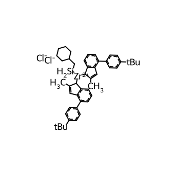 CC1=Cc2c(-c3ccc(C(C)(C)C)cc3)cccc2[CH]1[Zr+2]([SiH2]CC1CCCCC1)[CH]1C(C)=Cc2c(-c3ccc(C(C)(C)C)cc3)cccc21.[Cl-].[Cl-]